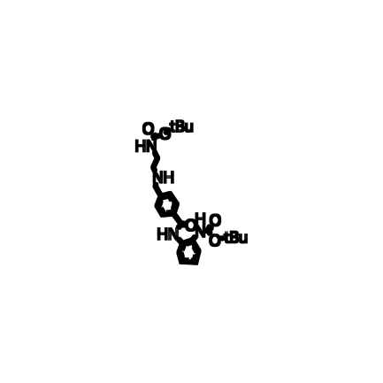 CC(C)(C)OC(=O)NCCNCc1ccc(C(=O)Nc2ccccc2NC(=O)OC(C)(C)C)cc1